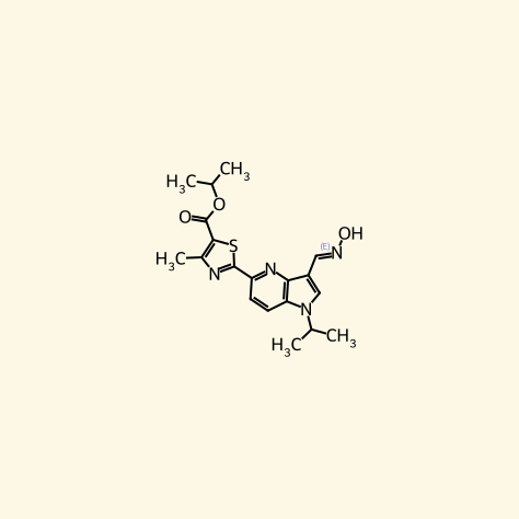 Cc1nc(-c2ccc3c(n2)c(/C=N/O)cn3C(C)C)sc1C(=O)OC(C)C